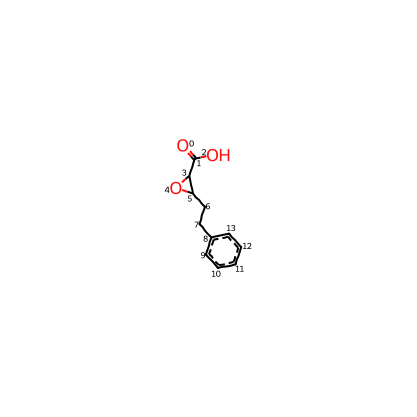 O=C(O)C1OC1CCc1ccccc1